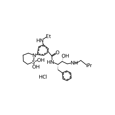 CCNc1cc(C(=O)N[C@@H](Cc2ccccc2)[C@H](O)CNCCC(C)C)cc(N2CCCCS2(O)O)c1.Cl